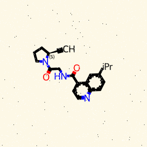 C#C[C@@H]1CCCN1C(=O)CNC(=O)c1ccnc2ccc(C(C)C)cc12